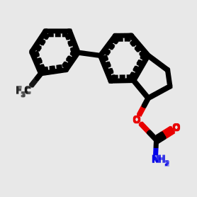 NC(=O)OC1CCc2ccc(-c3cccc(C(F)(F)F)c3)cc21